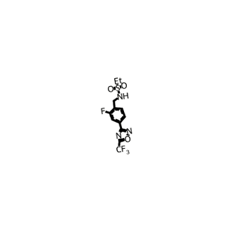 CCS(=O)(=O)NCc1ccc(-c2noc(C(F)(F)F)n2)cc1F